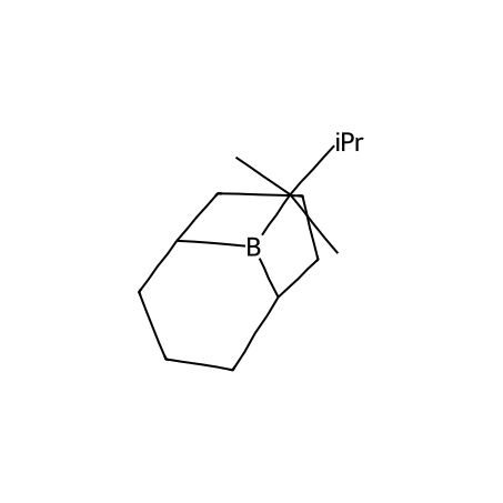 CC(C)C(C)(C)B1C2CCCC1CCC2